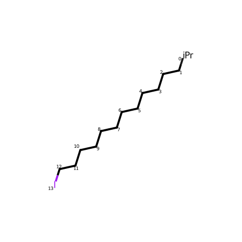 CC(C)CCCCCCCCCCCCI